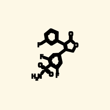 NS(=O)(=O)c1c(F)cc(C2=C(c3cccc(F)c3)C(=O)OC2)cc1F